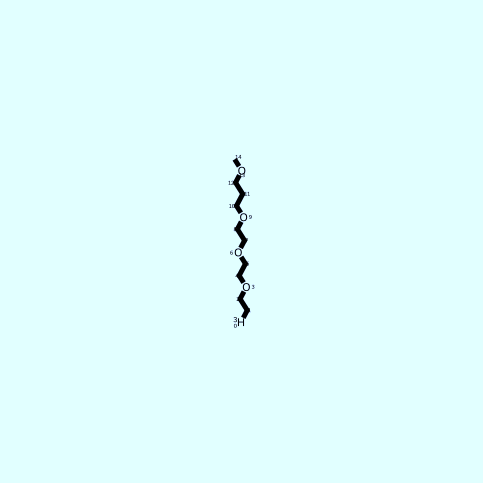 [3H]CCOCCOCCOCCCOC